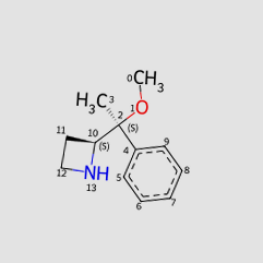 CO[C@@](C)(c1ccccc1)[C@@H]1CCN1